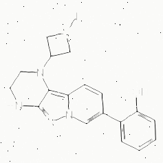 Oc1ccccc1-c1ccc2c3c(nn2c1)NCCN3C1CN(I)C1